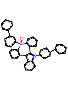 O=P1(c2cccc(-c3ccccc3)c2)c2ccccc2-c2c(n(-c3ccc(-c4ccccc4)cc3)c3ccccc23)-c2ccccc21